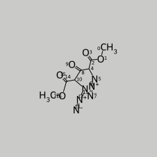 COC(=O)C(N=[N+]=[N-])C(=O)C(N=[N+]=[N-])C(=O)OC